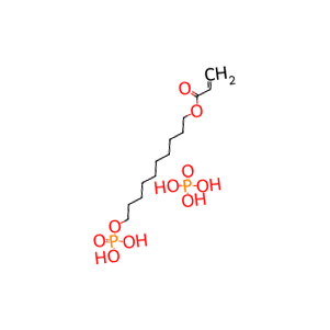 C=CC(=O)OCCCCCCCCCCOP(=O)(O)O.O=P(O)(O)O